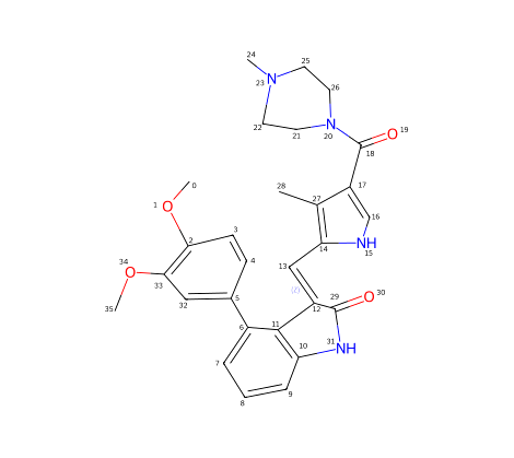 COc1ccc(-c2cccc3c2/C(=C/c2[nH]cc(C(=O)N4CCN(C)CC4)c2C)C(=O)N3)cc1OC